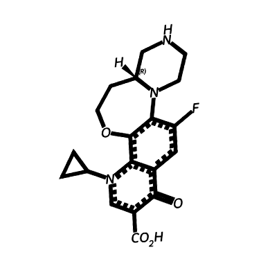 O=C(O)c1cn(C2CC2)c2c3c(c(F)cc2c1=O)N1CCNC[C@H]1CCO3